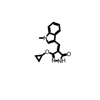 Cn1cc(C=C2C(=O)NN=C2OC2CC2)c2ccccc21